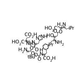 CC(C)(C)OC(=O)N[C@@H](Cc1ccccc1)C(=O)O.CC(C)C[C@H](N)[C@H](CC(=O)O)OC(=O)C[C@H](O)[C@@H](N)CC(C)C.C[C@H](N)C(=O)OC(=O)[C@@H](N)Cc1c[nH]cn1.N[C@@H](CCC(=O)O)C(=O)O